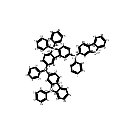 c1ccc(N(c2ccc3c(c2)-c2cc(N(c4ccccc4)c4ccc5c6ccccc6n(-c6ccccc6)c5c4)ccc2[Si]3(c2ccccc2)c2ccccc2)c2ccc3c(c2)sc2ccccc23)cc1